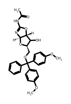 COc1ccc(C(OC[C@H]2O[C@H]3N=C(NC(C)=O)O[C@@H]3C2O)(c2ccccc2)c2ccc(OC)cc2)cc1